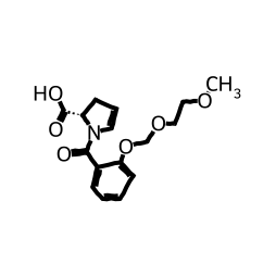 COCCOCOc1ccccc1C(=O)N1C=CC[C@H]1C(=O)O